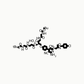 CC(C)(C)OC(=O)NCC(=O)NCCC(=O)OC[C@H](COc1ccc(-c2c(C#N)c(N)nc(SCc3coc(-c4ccc(Cl)cc4)n3)c2C#N)cc1)C(CNC(=O)CNC(=O)OC(C)(C)C)C(=O)O